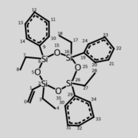 C=C[Si]1(CC)O[Si](CC)(c2ccccc2)O[Si](CC)(c2ccccc2)O[Si](CC)(c2ccccc2)O1